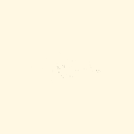 COC(=O)OCOc1c2n(ccc1=O)N([C@@H]1c3ccccc3SCc3c1cccc3C(F)(F)F)[C@@H]1COCCN1C2=O